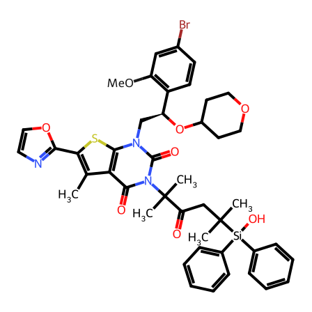 COc1cc(Br)ccc1[C@H](Cn1c(=O)n(C(C)(C)C(=O)CC(C)(C)[Si](O)(c2ccccc2)c2ccccc2)c(=O)c2c(C)c(-c3ncco3)sc21)OC1CCOCC1